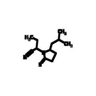 CCC(C#N)N1C(=S)CCC1CC(C)C